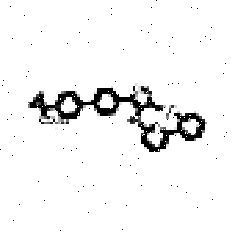 CCOC(=O)C1(c2ccc(-c3ccc(-c4onc(C)c4Nc4cccc(-c5ccccc5C(F)(F)F)n4)cc3)cc2)CC1